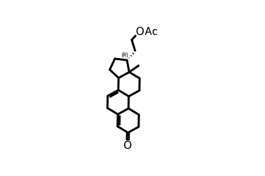 CC(=O)OCC[C@H]1CCC2C3=CCC4=CC(=O)CCC4C3CCC21C